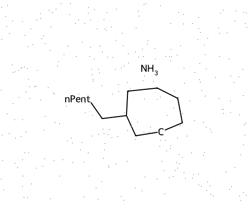 CCCCCCC1CCCCCC1.N